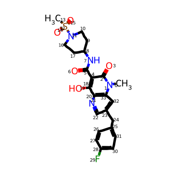 Cn1c(=O)c(C(=O)NC2CCN(S(C)(=O)=O)CC2)c(O)c2ncc(Cc3ccc(F)cc3)cc21